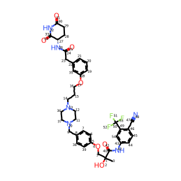 CC(O)(COc1ccc(CN2CCN(CCCOc3cccc(CC(=O)N[C@H]4CCC(=O)NC4=O)c3)CC2)cc1)C(=O)Nc1ccc(C#N)c(C(F)(F)F)c1